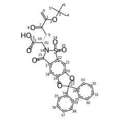 C=C(OC(C)(C)C)C(=O)C[C@@H](C(=O)O)N1C(=O)c2cc3c(cc2S1(=O)=O)OC(c1ccccc1)(c1ccccc1)O3